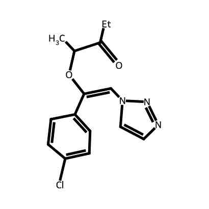 CCC(=O)C(C)OC(=Cn1ccnn1)c1ccc(Cl)cc1